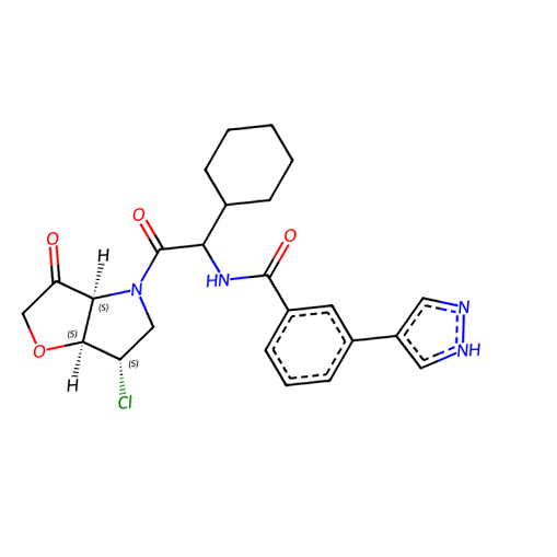 O=C(NC(C(=O)N1C[C@H](Cl)[C@H]2OCC(=O)[C@H]21)C1CCCCC1)c1cccc(-c2cn[nH]c2)c1